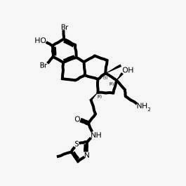 Cc1cnc(NC(=O)CC[C@@H]2C[C@@](O)(CCN)[C@@]3(C)CCC4c5cc(Br)c(O)c(Br)c5CCC4C23)s1